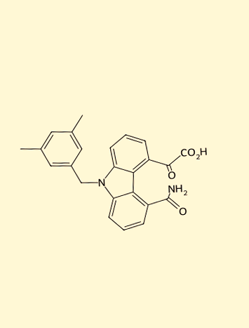 Cc1cc(C)cc(Cn2c3cccc(C(N)=O)c3c3c(C(=O)C(=O)O)cccc32)c1